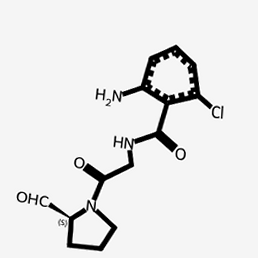 Nc1cccc(Cl)c1C(=O)NCC(=O)N1CCC[C@H]1C=O